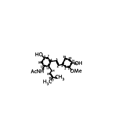 COc1cc(C=Cc2cc(O)cc(NC(C)=O)c2CC=C(C)C)ccc1O